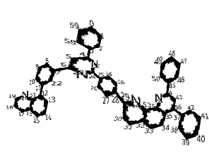 c1ccc(-c2cc(-c3cccc(-c4cccc5cccnc45)c3)nc(-c3ccc(-c4ccc5ccc6c(-c7ccccc7)cc(-c7ccccc7)nc6c5n4)cc3)n2)cc1